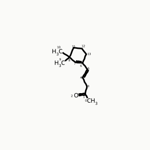 CC(=O)CC=CC1=CC(C)(C)CCC1